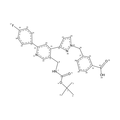 CC(C)(C)OC(=O)NCc1cnc(-c2ccc(F)cc2)cc1-c1ccn(Cc2cccc(C(=O)O)c2)n1